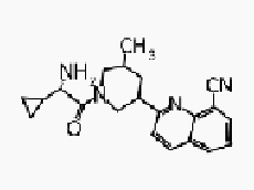 CC1CC(c2ccc3cccc(C#N)c3n2)CN(C(=O)[C@@H](N)C2CC2)C1